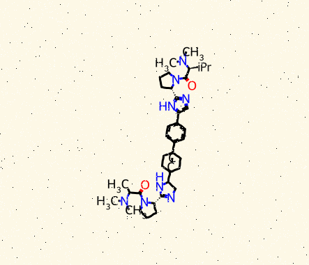 CC(C)[C@@H](C(=O)N1CCC[C@H]1c1ncc(-c2ccc(C34CCC(C5CN=C([C@@H]6CCCN6C(=O)C(C)N(C)C)N5)(CC3)CC4)cc2)[nH]1)N(C)C